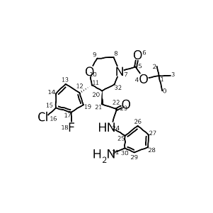 CC(C)(C)OC(=O)N1CCO[C@@H](c2ccc(Cl)c(F)c2)[C@H](CC(=O)Nc2ccccc2N)C1